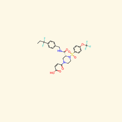 CCC(F)(F)c1ccc(CNC(=O)[C@H]2CN(C(=O)/C=C\C(=O)O)CCN2S(=O)(=O)c2ccc(OC(F)(F)F)cc2)cc1